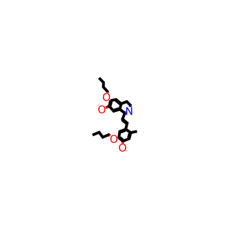 CCCCOc1cc(/C=C/C2=NCCc3cc(OCCCC)c(OC)cc32)c(C)cc1OC